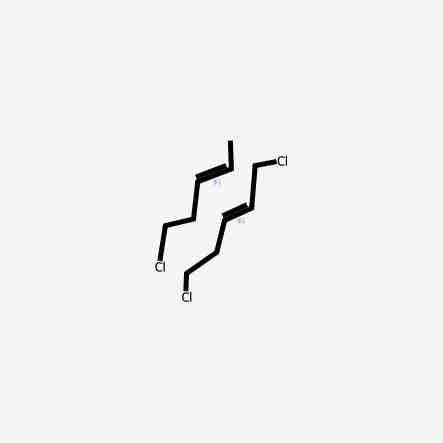 C/C=C/CCCl.ClC/C=C/CCCl